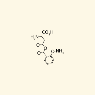 NOc1ccccc1C(=O)OC(=O)C[C@H](N)C(=O)O